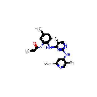 C=CC(=O)Nc1cc(C)ccc1Nc1nc(Nc2cc(OC)ncc2CC)ncc1C(F)(F)F